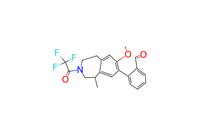 COc1cc2c(cc1-c1ccccc1C=O)C(C)CN(C(=O)C(F)(F)F)CC2